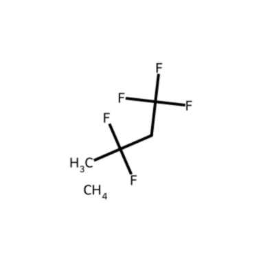 C.CC(F)(F)CC(F)(F)F